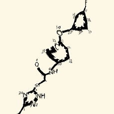 Cc1n[nH]c(SCC(=O)Nc2ccc(Oc3cccc(F)c3)cc2)n1